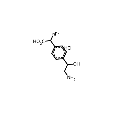 CCCC(C(=O)O)c1ccc(C(O)CN)cc1.Cl